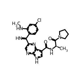 CNc1cc(Cl)ccc1C(=N)c1cnc2[nH]cc(C(=O)N[C@H](C)C(=O)N3CCCC3)c2n1